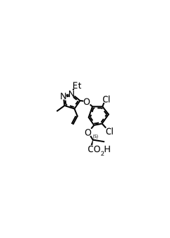 C=Cc1c(C)nn(CC)c1Oc1cc(O[C@@H](C)C(=O)O)c(Cl)cc1Cl